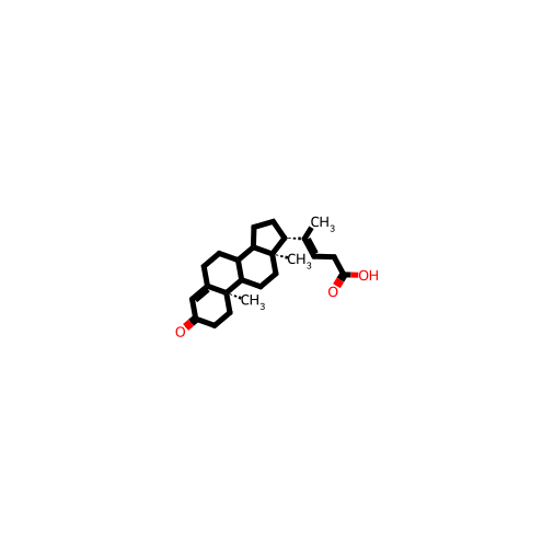 CC(=CCC(=O)O)[C@H]1CCC2C3CCC4=CC(=O)CC[C@]4(C)C3CC[C@@]21C